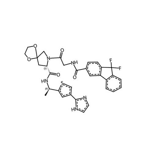 C[C@@H](NC(=O)[C@@H]1CC2(CN1C(=O)CNC(=O)c1ccc3c(c1)-c1ccccc1C3(F)F)OCCO2)c1cc(-c2ncc[nH]2)cs1